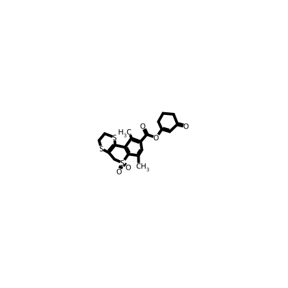 Cc1cc(C(=O)OC2=CC(=O)CCC2)c(C)c2c1S(=O)(=O)CC1=C2SCCS1